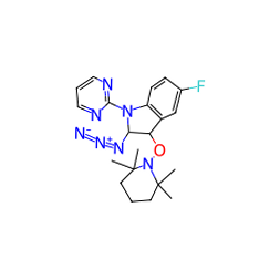 CC1(C)CCCC(C)(C)N1OC1c2cc(F)ccc2N(c2ncccn2)C1N=[N+]=[N-]